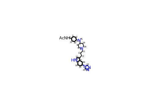 CC(=O)Nc1ccc(N(C)C2CCN(CCCc3c[nH]c4ccc(-n5cnnc5)cc34)CC2)cc1